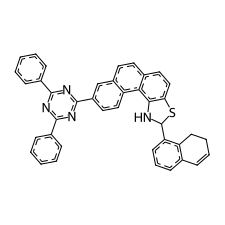 C1=Cc2cccc(C3Nc4c(ccc5ccc6cc(-c7nc(-c8ccccc8)nc(-c8ccccc8)n7)ccc6c45)S3)c2CC1